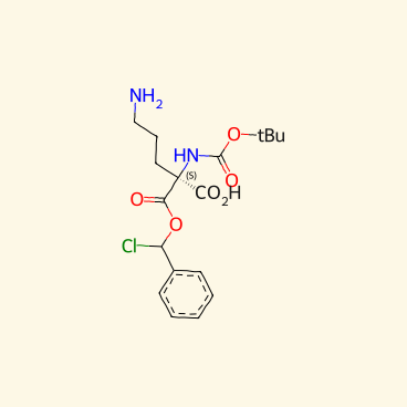 CC(C)(C)OC(=O)N[C@@](CCCN)(C(=O)O)C(=O)OC(Cl)c1ccccc1